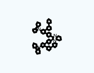 c1ccc(-c2cccc(-c3cc(-n4c5ccccc5c5ccccc54)ccc3-c3ccc(-c4nc5ccccc5nc4-c4ccc(-c5ccc(-n6c7ccccc7c7ccccc76)cc5-c5cccc(-c6ccccc6)c5)cc4)cc3)c2)cc1